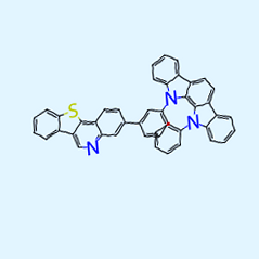 c1ccc(-n2c3ccccc3c3ccc4c5ccccc5n(-c5cccc(-c6ccc7c(c6)ncc6c8ccccc8sc76)c5)c4c32)cc1